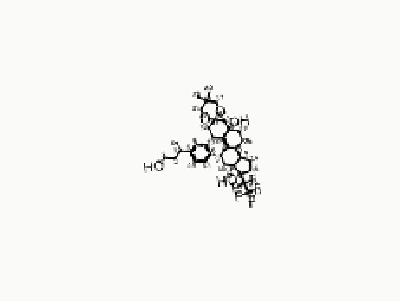 C[C@H](CCO)c1ccc([C@H]2C[C@@]3(C)C(CC[C@@]3(O)C(F)(F)C(F)(F)F)C3CCC4(O)CC5(CCC4=C32)OCC(C)(C)CO5)cc1